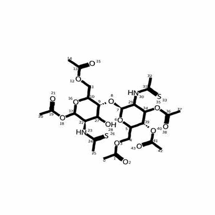 CC(=O)OCC1O[C@@H](O[C@H]2C(COC(C)=O)OC(OC(C)=O)[C@H](NC(C)=S)C2O)C(NC(C)=S)C(OC(C)=O)[C@@H]1OC(C)=O